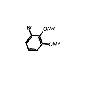 COc1cccc(Br)c1OC